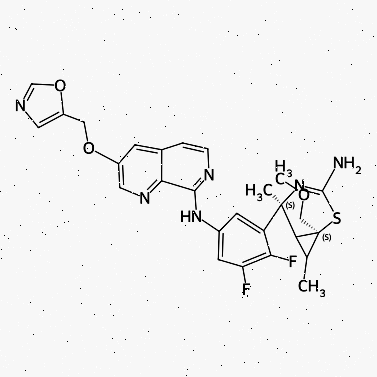 COC[C@@]12SC(N)=N[C@](C)(c3cc(Nc4nccc5cc(OCc6cnco6)cnc45)cc(F)c3F)C1C2C